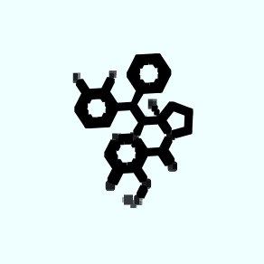 [CH2]Oc1c2n(ncc1=O)[C@@H]([C@H](c1ccccc1)c1cccc(F)c1F)[C@H]1CCCN1C2=O